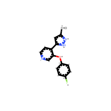 O=Cc1cc(-c2ccncc2Oc2ccc(F)cc2)[nH]n1